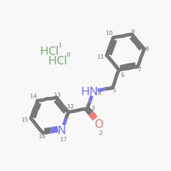 Cl.Cl.O=C(NCc1ccccc1)c1ccccn1